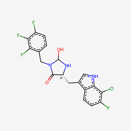 O=C1[C@@H](Cc2c[nH]c3c(Cl)c(F)ccc23)NC(O)N1Cc1ccc(F)c(F)c1F